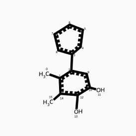 Cc1c(-c2ccccc2)cc(O)c(O)c1C